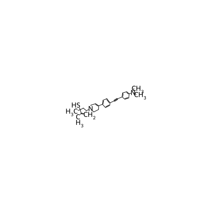 C=C(C)C(C)(S)CCN1CC=C(c2ccc(C#Cc3ccc(N(C)C)cc3)cc2)CC1